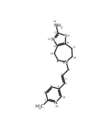 Cc1ccc(/C=C/CN2CCc3nc(N)sc3CC2)cn1